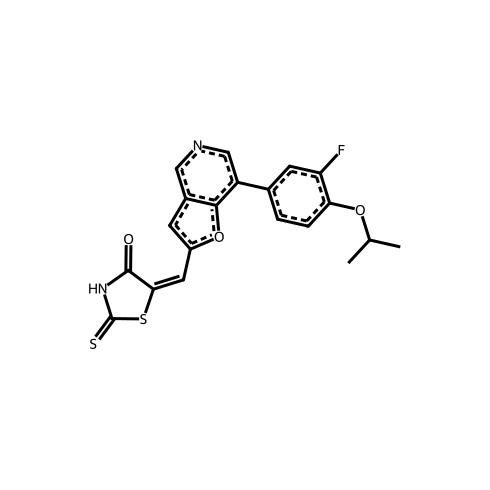 CC(C)Oc1ccc(-c2cncc3cc(/C=C4/SC(=S)NC4=O)oc23)cc1F